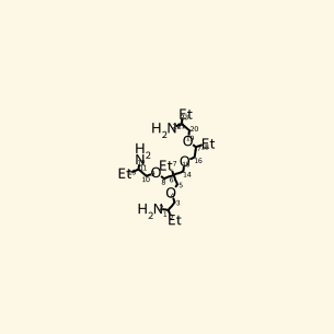 CCC(N)COCC(CC)(COCC(N)CC)COCC(CC)OCC(N)CC